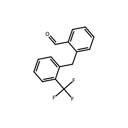 O=Cc1ccccc1Cc1ccccc1C(F)(F)F